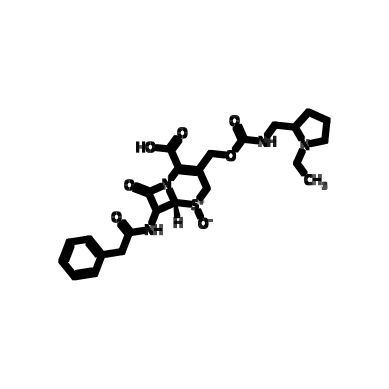 CCN1CCCC1CNC(=O)OCC1=C(C(=O)O)N2C(=O)C(NC(=O)Cc3ccccc3)[C@H]2[S+]([O-])C1